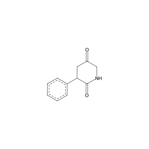 O=C1CNC(=O)C(c2ccccc2)C1